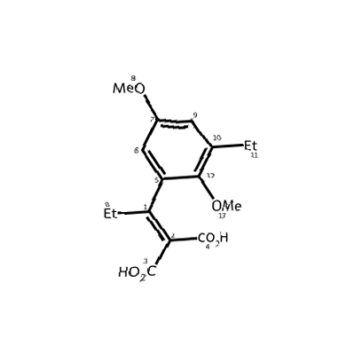 CCC(=C(C(=O)O)C(=O)O)c1cc(OC)cc(CC)c1OC